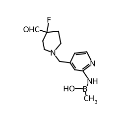 CB(O)Nc1cc(CN2CCC(F)(C=O)CC2)ccn1